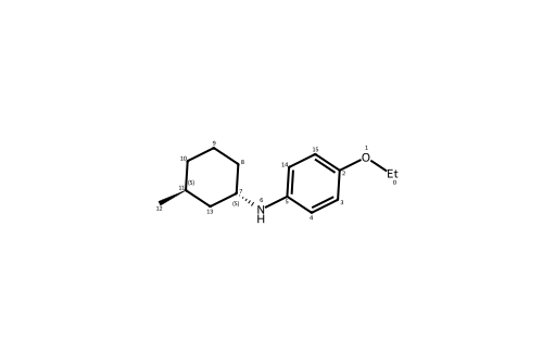 CCOc1ccc(N[C@H]2CCC[C@H](C)C2)cc1